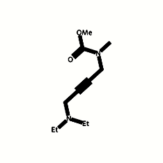 CCN(CC)CC#CCN(C)C(=O)OC